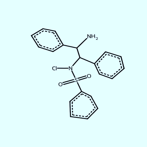 NC(c1ccccc1)C(c1ccccc1)N(Cl)S(=O)(=O)c1ccccc1